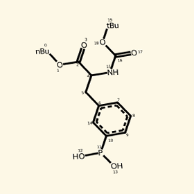 CCCCOC(=O)C(Cc1cccc(P(O)O)c1)NC(=O)OC(C)(C)C